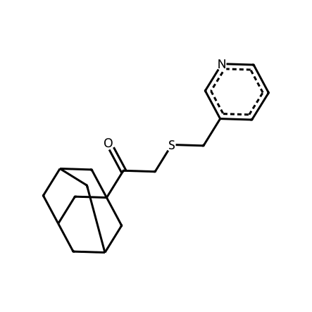 O=C(CSCc1cccnc1)C12CC3CC(CC(C3)C1)C2